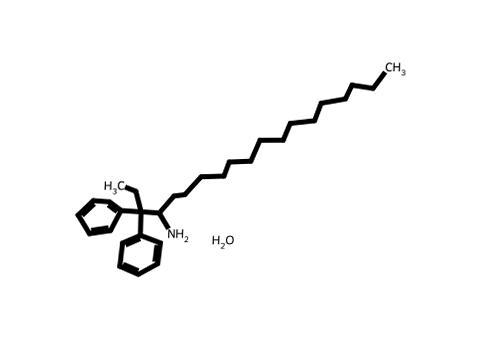 CCCCCCCCCCCCCCCC(N)C(CC)(c1ccccc1)c1ccccc1.O